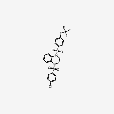 O=S(=O)(c1ccc(Cl)cc1)N1CCN(S(=O)(=O)c2ccc(OC(F)(F)F)cc2)c2ccccc21